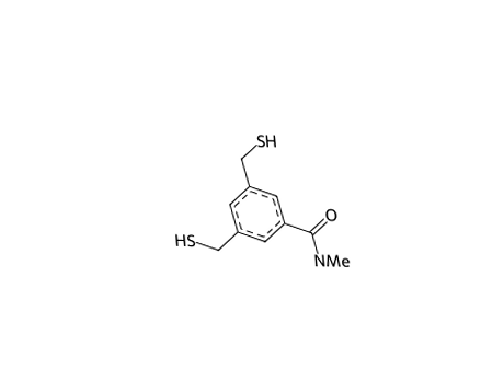 CNC(=O)c1cc(CS)cc(CS)c1